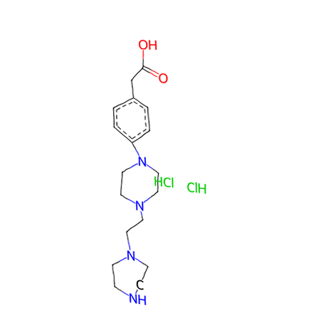 Cl.Cl.O=C(O)Cc1ccc(N2CCN(CCN3CCNCC3)CC2)cc1